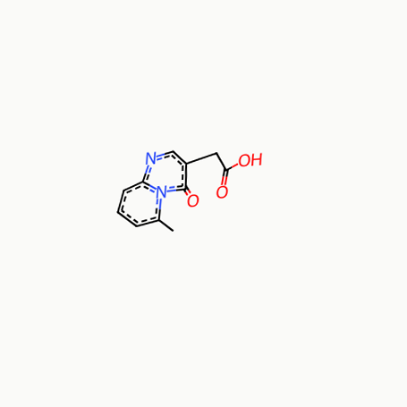 Cc1cccc2ncc(CC(=O)O)c(=O)n12